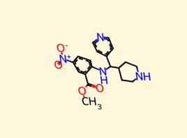 COC(=O)c1cc([N+](=O)[O-])ccc1NC(c1ccncc1)C1CCNCC1